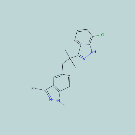 CC(C)c1nn(C)c2ccc(CC(C)(C)c3n[nH]c4c(Cl)cccc34)cc12